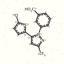 O=C(O)c1cccc(-n2nc(C(F)(F)F)cc2-c2ccc(Cl)s2)c1